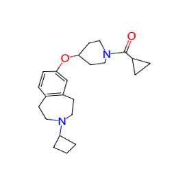 O=C(C1CC1)N1CCC(Oc2ccc3c(c2)CCN(C2CCC2)CC3)CC1